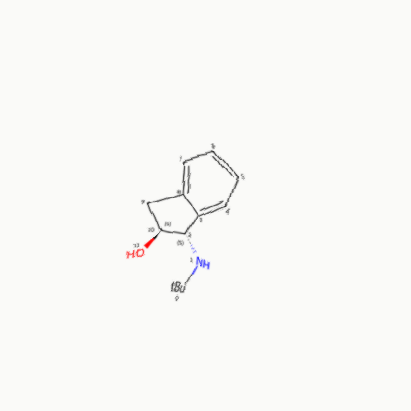 CC(C)(C)N[C@H]1c2ccccc2C[C@@H]1O